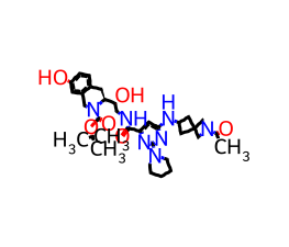 CC(=O)N1CC2(CC(Nc3cc(C(=O)NC[C@@H](O)[C@@H]4Cc5ccc(O)cc5CN4C(=O)OC(C)(C)C)nc(N4CCCCC4)n3)C2)C1